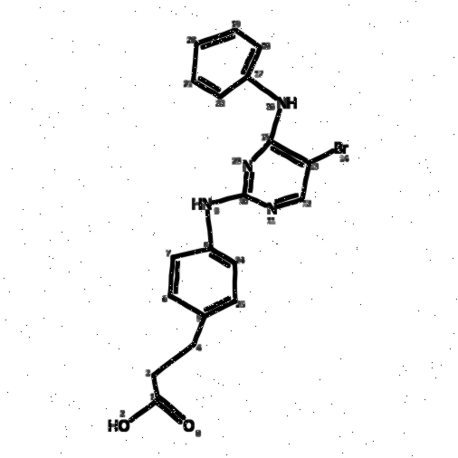 O=C(O)CCc1ccc(Nc2ncc(Br)c(Nc3ccccc3)n2)cc1